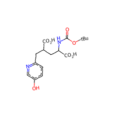 CC(C)(C)OC(=O)NC(CC(Cc1ccc(O)cn1)C(=O)O)C(=O)O